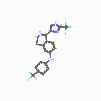 FC(F)(F)c1ccc(Nc2ccc3c(c2)CCN=C3c2c[nH]c(C(F)(F)F)n2)cc1